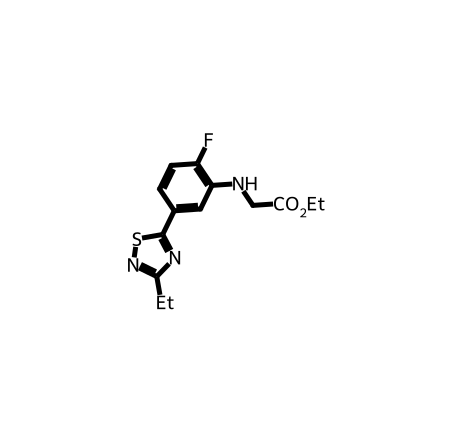 CCOC(=O)CNc1cc(-c2nc(CC)ns2)ccc1F